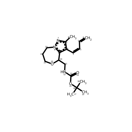 C=C/C=C\c1c(C)nn2c1C(CNC(=O)OC(C)(C)C)OCCC2